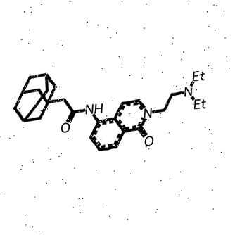 CCN(CC)CCn1ccc2c(NC(=O)CC34CC5CC(CC(C5)C3)C4)cccc2c1=O